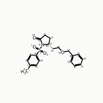 Cc1ccc(S(=O)(=O)N2C(=O)CC[C@@H]2CCOCc2ccccc2)cc1